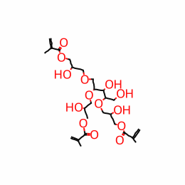 C=C(C)C(=O)OCC(O)COCC(OCC(O)COC(=O)C(=C)C)C(O)C(CO)OCC(O)COC(=O)C(=C)C